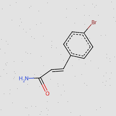 NC(=O)/C=C/c1ccc(Br)cc1